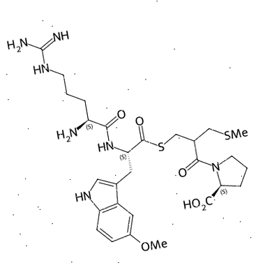 COc1ccc2[nH]cc(C[C@H](NC(=O)[C@@H](N)CCCNC(=N)N)C(=O)SCC(CSC)C(=O)N3CCC[C@H]3C(=O)O)c2c1